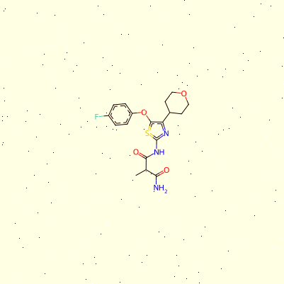 C[C](C(N)=O)C(=O)Nc1nc(C2CCOCC2)c(Oc2ccc(F)cc2)s1